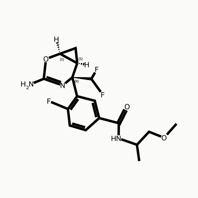 COCC(C)NC(=O)c1ccc(F)c([C@]2(C(F)F)N=C(N)O[C@H]3C[C@H]32)c1